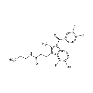 Cc1c(CCC(=O)NCCC(=O)O)c2c(F)c(O)ccc2n1C(=O)c1ccc(Cl)c(Cl)c1